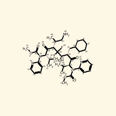 COC(=O)N(c1ccccn1)[C@H](C(=O)[C@@H](CC1CCCCC1)[C@@H](O)C(F)(F)[C@H](C(=O)[C@H](C(C)C)N(C(=O)OC)c1ccccn1)C(C)CN)C(C)C